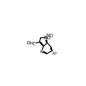 Cl.Cl.O=CC1=c2ncccc2=NC1.[H+]